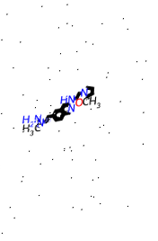 C[C@H]1CCCN1CC(=O)Nc1cc2cc(/C=C/N(C)N)ccc2cn1